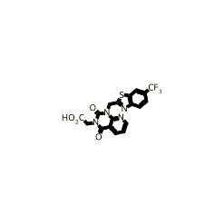 O=C(O)Cn1c(=O)c2cccnc2n(Cc2nc3ccc(C(F)(F)F)cc3s2)c1=O